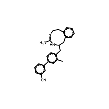 Cc1cc(-c2cccc(C#N)c2)ccc1CC1Cc2ccccc2CC/N=C(/N)N1